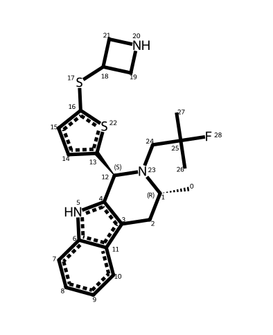 C[C@@H]1Cc2c([nH]c3ccccc23)[C@@H](c2ccc(SC3CNC3)s2)N1CC(C)(C)F